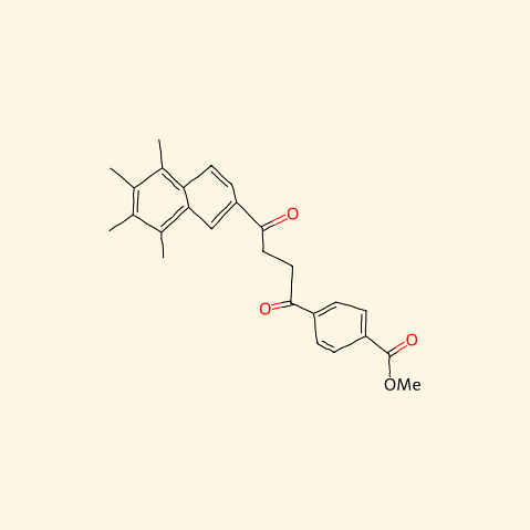 COC(=O)c1ccc(C(=O)CCC(=O)c2ccc3c(C)c(C)c(C)c(C)c3c2)cc1